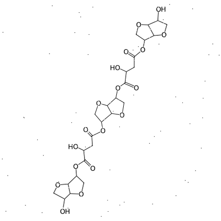 O=C(CC(O)C(=O)OC1COC2C(OC(=O)CC(O)C(=O)OC3COC4C(O)COC34)COC12)OC1COC2C(O)COC12